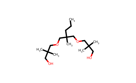 CCCC(C)(COCC(C)(C)CO)COCC(C)(C)CO